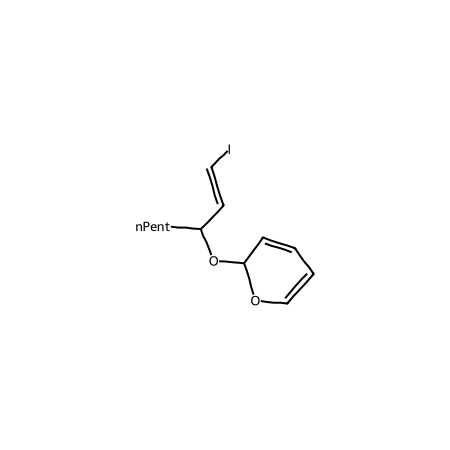 CCCCCC(C=CI)OC1C=CC=CO1